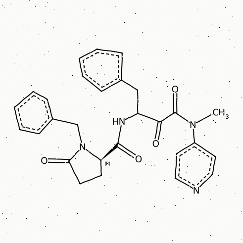 CN(C(=O)C(=O)C(Cc1ccccc1)NC(=O)[C@H]1CCC(=O)N1Cc1ccccc1)c1ccncc1